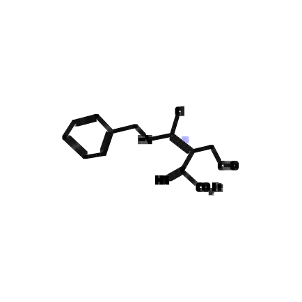 CCOC(=O)C(=N)/C(CC=O)=C(/Cl)NCc1ccccc1